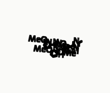 COc1cccc(-c2nnc(NS(=O)(=O)CC(O)c3cnc(C)cn3)n2-c2c(OC)cccc2OC)n1